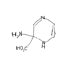 NC1(C(=O)O)C=NC=CN1